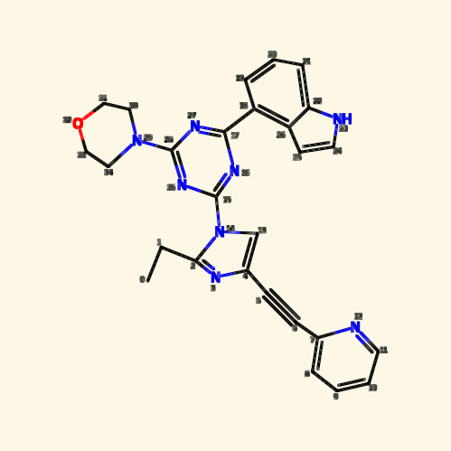 CCc1nc(C#Cc2ccccn2)cn1-c1nc(-c2cccc3[nH]ccc23)nc(N2CCOCC2)n1